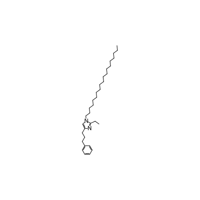 CCCCCCCCCCCCCCCCCCCn1cc(CCCc2ccccc2)nc1CC